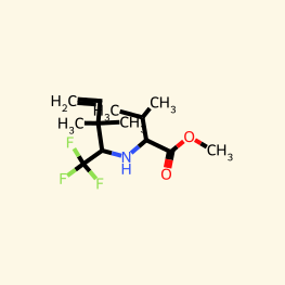 C=CC(C)(C)C(NC(C(=O)OC)C(C)C)C(F)(F)F